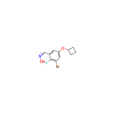 O/N=C\c1cc(OC2CCC2)cc(Br)c1F